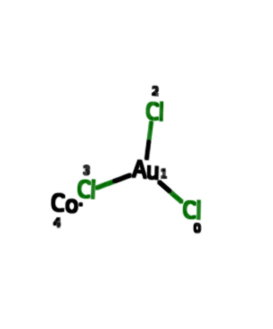 [Cl][Au]([Cl])[Cl].[Co]